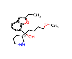 CCc1cc2cccc([C@](O)(CCCCOC)C3CCCNC3)c2o1